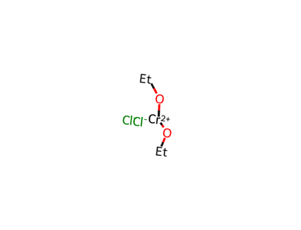 CC[O][Cr+2][O]CC.[Cl-].[Cl-]